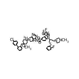 [2H]C1(N2CCc3c(ncnc3NS(=O)(=O)c3ccc(NC(CCN4CCN(C)CC4)CSc4ccccc4F)c(S(=O)(=O)C(F)(F)F)c3)C2)CCC(Cc2ccccc2-c2ccc(Cl)cc2)(OC)CC1